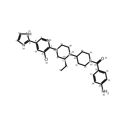 CC[C@H]1CN(c2ncc(-c3ncc[nH]3)cc2Cl)CCN1C1CCN(C(=O)c2ccc(N)cc2)CC1